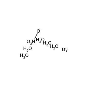 O.O.O.O.O.O=[N+]([O-])[O-].[Dy]